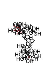 C=C1CC23CCC4[C@](C)(C(=O)OC5OC(CO)C(O)C(OC6OC(CO)C(O)C(O)C6O)C5OC5OC(CO)C(O)C(O)C5O)CCC[C@@]4(C)[C@@H]2CCC1(OC1OC(COC(O)(O)C(CO)OC)C(O)C(OC2OC(CO)C(O)C(O)C2O)C1OC1OC(CO)C(O)C(O)C1O)C3